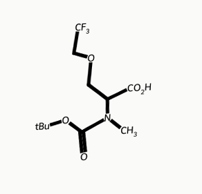 CN(C(=O)OC(C)(C)C)C(COCC(F)(F)F)C(=O)O